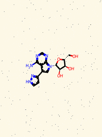 Nc1ncnc2c1c(-c1cc[nH]n1)cn2[C@@H]1O[C@H](CO)[C@@H](O)[C@H]1O